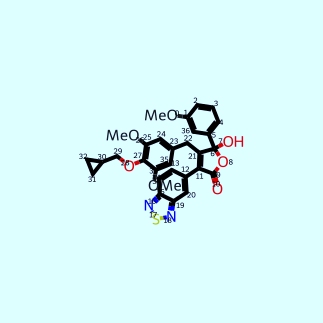 COc1cccc(C2(O)OC(=O)C(c3ccc4nsnc4c3)=C2Cc2cc(OC)c(OCC3CC3)c(OC)c2)c1